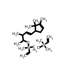 C=C[Si](C)(C)Cl.C=C[Si](C)(C)OC(C)C(C)C=CC1CC=C(C)C1(C)C